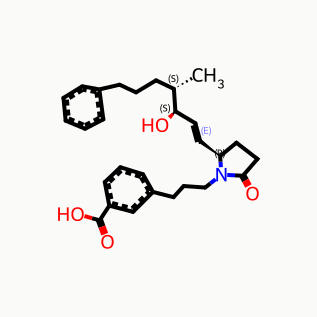 C[C@@H](CCCc1ccccc1)[C@H](O)/C=C/[C@H]1CCC(=O)N1CCCc1cccc(C(=O)O)c1